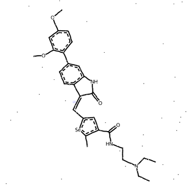 CCN(CC)CCNC(=O)c1cc(/C=C2\C(=O)Nc3cc(-c4ccc(OC)cc4OC)ccc32)[se]c1C